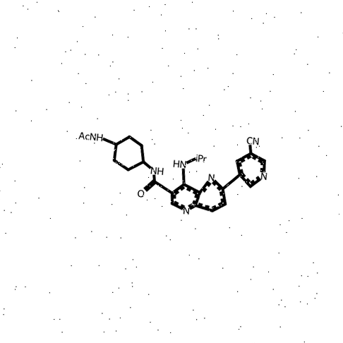 CC(=O)NC1CCC(NC(=O)c2cnc3ccc(-c4cncc(C#N)c4)nc3c2NC(C)C)CC1